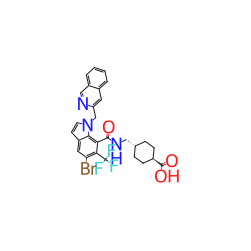 O=C(NC[C@H]1CC[C@H](C(=O)O)CC1)c1c(C(F)(F)F)c(Br)cc2ccn(Cc3cc4ccccc4cn3)c12